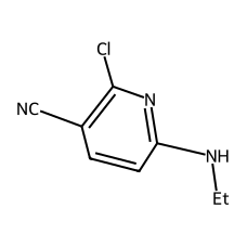 CCNc1ccc(C#N)c(Cl)n1